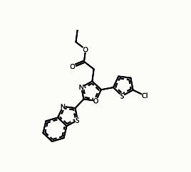 CCOC(=O)Cc1nc(-c2nc3ccccc3s2)oc1-c1ccc(Cl)s1